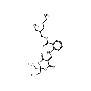 CCCCC(CC)COC(=O)c1ccccc1NC=C1C(=O)OC(CC)(CC)OC1=O